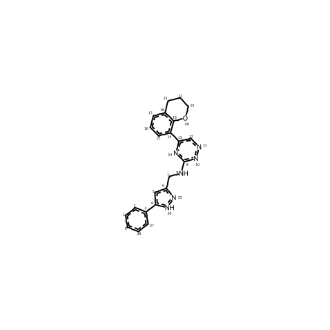 c1ccc(-c2cc(CNc3nncc(-c4cccc5c4OCCC5)n3)n[nH]2)cc1